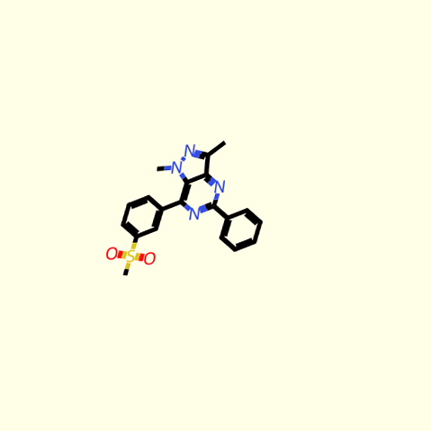 Cc1nn(C)c2c(-c3cccc(S(C)(=O)=O)c3)nc(-c3ccccc3)nc12